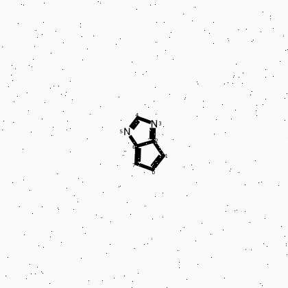 C1=CC2=NC=NC2=C1